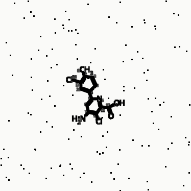 Cc1ccc(-c2cc(N)c(Cl)c(C(=O)O)n2)cc1Cl